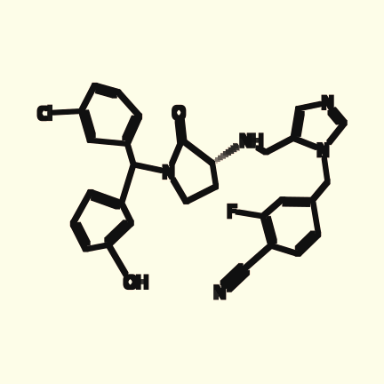 N#Cc1ccc(Cn2cncc2CN[C@@H]2CCN(C(c3cccc(O)c3)c3cccc(Cl)c3)C2=O)cc1F